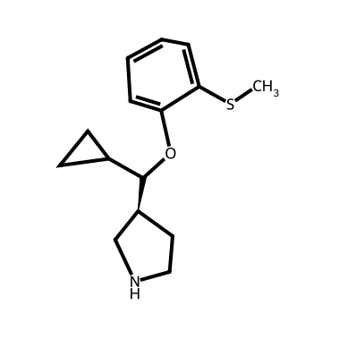 CSc1ccccc1OC(C1CC1)[C@H]1CCNC1